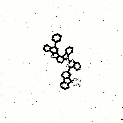 CC1(C)c2ccccc2-c2ccc(-c3nc(-n4c5ccccc5c5c6c(ccc54)oc4c5ccccc5c(-c5ccccc5)cc46)nc4ccccc34)cc21